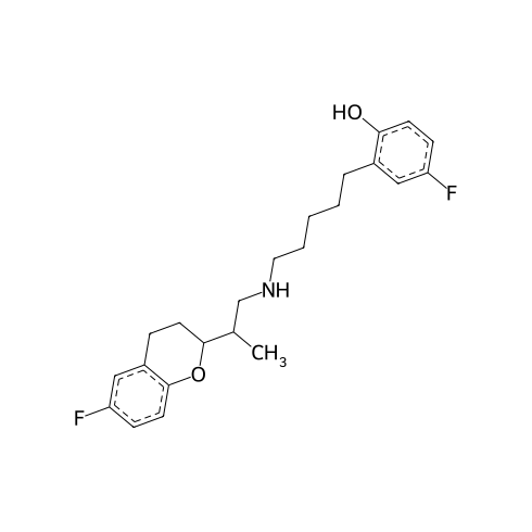 CC(CNCCCCCc1cc(F)ccc1O)C1CCc2cc(F)ccc2O1